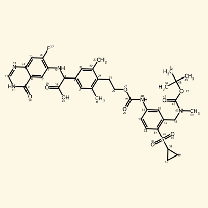 Cc1cc(C(Nc2cc3c(=O)[nH]cnc3cc2F)C(=O)O)cc(C)c1CCOC(=O)Nc1ccc(S(=O)(=O)C2CC2)c(CN(C)C(=O)OC(C)(C)C)c1